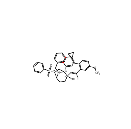 O=S(=O)(c1ccccc1)[C@@H]1C[C@]2(c3ccccc3)N(Cc3ccccc3)C1CC[C@@]2(O)C=C(I)c1cc(OC(F)(F)F)ccc1OC1CC1